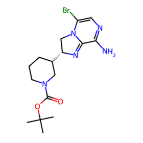 CC(C)(C)OC(=O)N1CCCC([C@@H]2CN3C(Br)=CN=C(N)C3=N2)C1